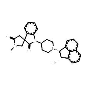 CN1CC2(CC1=O)C(=O)N(C1CCN([C@H]3c4cccc5cccc(c45)[C@@H]3O)CC1)c1ccccc12